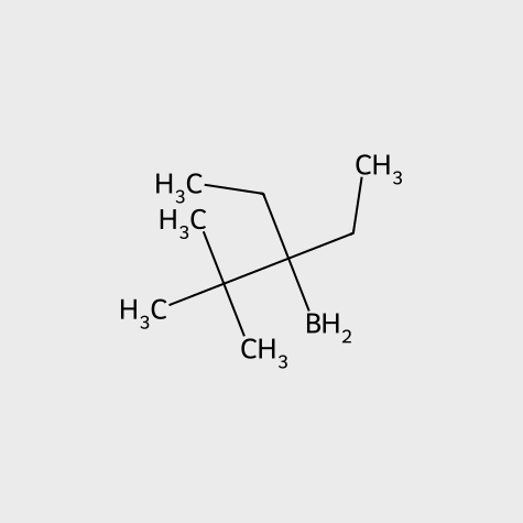 BC(CC)(CC)C(C)(C)C